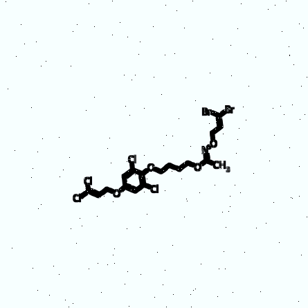 CC(=NOCC=C(Br)Br)OCCCCOc1c(Cl)cc(OCC=C(Cl)Cl)cc1Cl